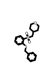 O=S(=O)(CC1CCOCC1)c1ccccc1SCc1ccccc1